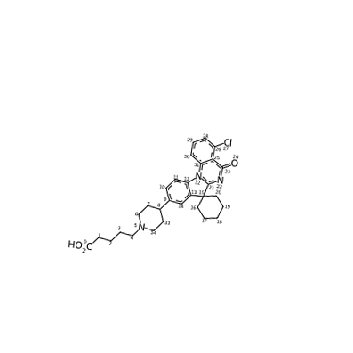 O=C(O)CCCCN1CCC(c2ccc3c(c2)C2(CCCCC2)c2nc(=O)c4c(Cl)cccc4n2-3)CC1